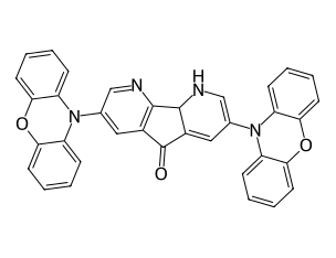 O=C1C2=CC(N3c4ccccc4Oc4ccccc43)=CNC2c2ncc(N3c4ccccc4Oc4ccccc43)cc21